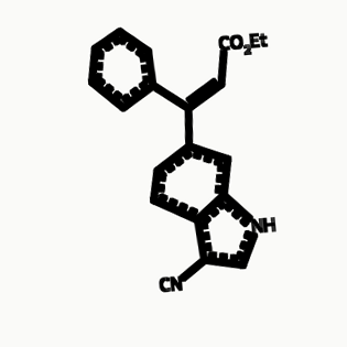 [C-]#[N+]c1c[nH]c2cc(C(=CC(=O)OCC)c3ccccc3)ccc12